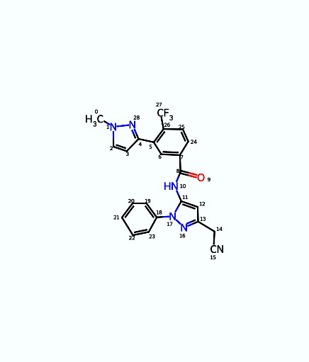 Cn1ccc(-c2cc(C(=O)Nc3cc(CC#N)nn3-c3ccccc3)ccc2C(F)(F)F)n1